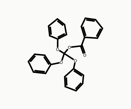 O=C(OC(Oc1ccccc1)(Oc1ccccc1)Oc1ccccc1)c1ccccc1